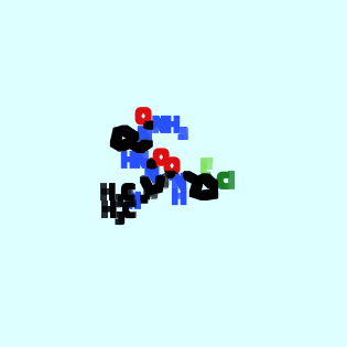 CN(C)C[C@H]1C[C@@H](C(=O)NCc2cccc(Cl)c2F)N(C(=O)Nc2cn(C(N)=O)c3ccccc23)C1